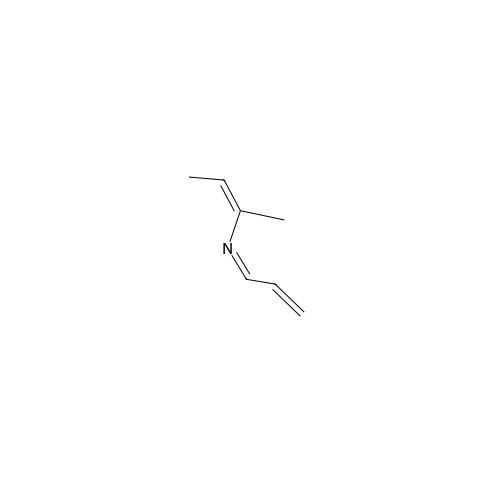 C=C/C=N\C(C)=C/C